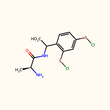 C[C@H](N)C(=O)NC(C(=O)O)c1ccc(SCl)cc1SCl